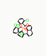 O=C(c1c(Cl)cccc1Cl)P(=O)(C(=O)c1c(Cl)cccc1Cl)c1ccccc1-c1cccc2ccccc12